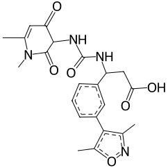 CC1=CC(=O)C(NC(=O)NC(CC(=O)O)c2cccc(-c3c(C)noc3C)c2)C(=O)N1C